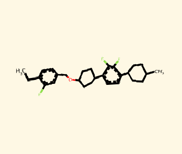 CCc1ccc(COC2CCC(c3ccc(C4CCC(C)CC4)c(F)c3F)CC2)cc1F